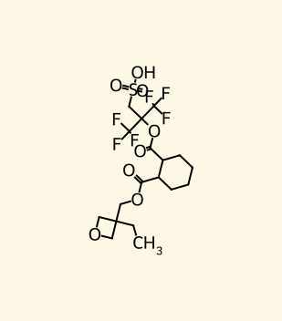 CCC1(COC(=O)C2CCCCC2C(=O)OC(CS(=O)(=O)O)(C(F)(F)F)C(F)(F)F)COC1